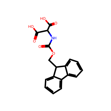 O=C(NC(C(=O)O)C(=O)O)OCC1c2ccccc2-c2ccccc21